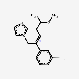 NOC(C/C=C(\Cn1ccnc1)c1cccc(C(F)(F)F)c1)C(=O)O